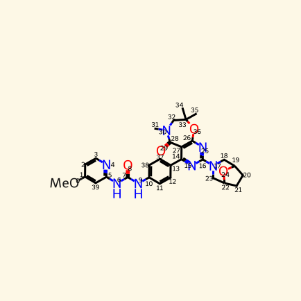 COc1ccnc(NC(=O)Nc2ccc(-c3nc(N4CC5CCC(C4)O5)nc4c3C(=O)N(C)CC(C)(C)O4)cc2)c1